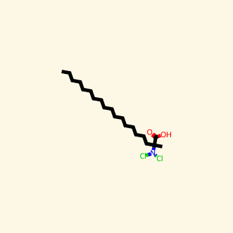 CCCCCCCCCCCCCCCCCC(C)(C(=O)O)N(Cl)Cl